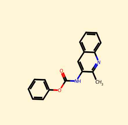 Cc1nc2ccccc2cc1NC(=O)Oc1ccccc1